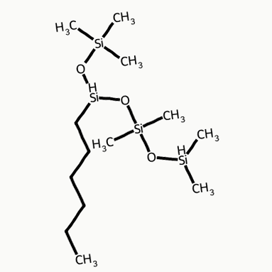 CCCCCC[SiH](O[Si](C)(C)C)O[Si](C)(C)O[SiH](C)C